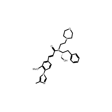 COc1cc(C=CC(=O)N(CCN2CCOCC2)[C@@H](CO)Cc2ccccc2)ccc1-n1cnc(C)c1